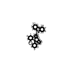 c1ccc2c(c1)Oc1ccccc1C21c2ccccc2-c2cc(-n3c4ccccc4c4ccccc43)ccc21